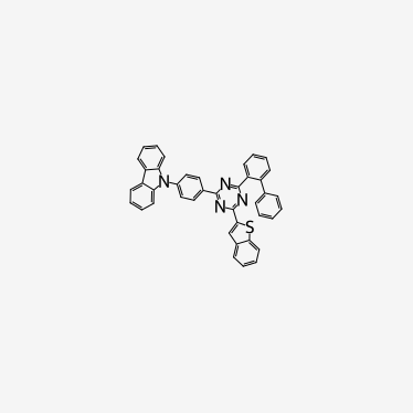 c1ccc(-c2ccccc2-c2nc(-c3ccc(-n4c5ccccc5c5ccccc54)cc3)nc(-c3cc4ccccc4s3)n2)cc1